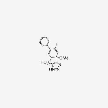 COC1(c2nn[nH]n2)C=C(F)C(c2ccccc2)=CC1C(=O)O